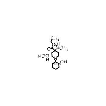 CCOC(=O)C1(N(C)C)CCN([C@@H]2CCCC[C@H]2O)CC1.Cl.Cl